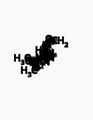 C=CC(=O)N1CC[C@H](n2nc(C(=O)Nc3cc(OC)cc(OC)c3)c3c(N)ncnc32)C1